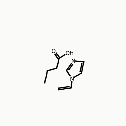 C=Cn1ccnc1.CCCC(=O)O